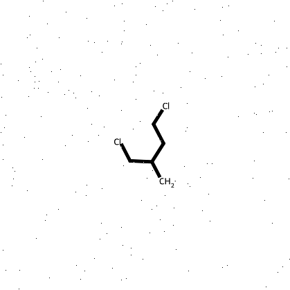 [CH2]C(CCl)CCCl